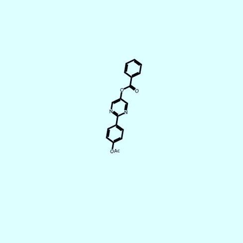 CC(=O)Oc1ccc(-c2ncc(OC(=O)c3ccccc3)cn2)cc1